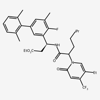 CCOC(=O)C[C@H](NC(=O)C(CCC(C)C)n1cc(CC)c(C(F)(F)F)cc1=O)c1cc(-c2c(C)cccc2C)cc(C)c1F